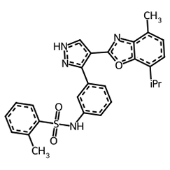 Cc1ccccc1S(=O)(=O)Nc1cccc(-c2n[nH]cc2-c2nc3c(C)ccc(C(C)C)c3o2)c1